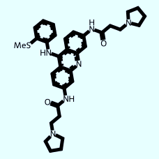 CSc1ccccc1Nc1c2ccc(NC(=O)CCN3CCCC3)cc2nc2cc(NC(=O)CCN3CCCC3)ccc12